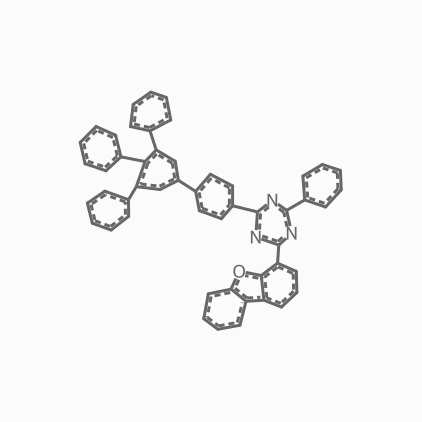 c1ccc(-c2nc(-c3ccc(-c4cc(-c5ccccc5)c(-c5ccccc5)c(-c5ccccc5)c4)cc3)nc(-c3cccc4c3oc3ccccc34)n2)cc1